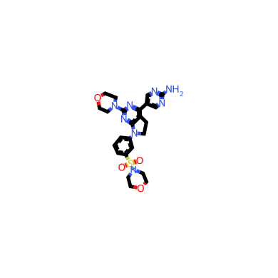 Nc1ncc(-c2nc(N3CCOCC3)nc3c2CCN3c2cccc(S(=O)(=O)N3CCOCC3)c2)cn1